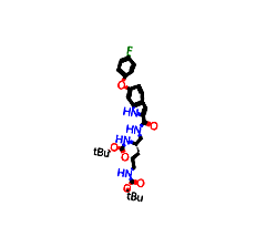 CC(C)(C)OC(=O)NCCC[C@@H](CNC(=O)c1cc2ccc(Oc3ccc(F)cc3)cc2[nH]1)NC(=O)OC(C)(C)C